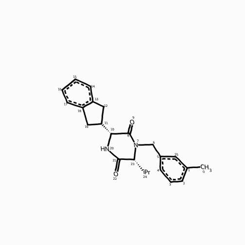 Cc1cccc(CN2C(=O)[C@@H](C3Cc4ccccc4C3)NC(=O)[C@H]2C(C)C)c1